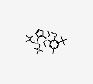 CC[Si](CC)(C1=[C]([Lu]([CH2][Si](C)(C)C)[CH2][Si](C)(C)C)C=CC1)c1cc(C)cc(C(C)(C)C)c1OC